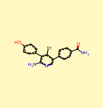 CCc1c(-c2ccc(C(N)=O)cc2)cnc(N)c1-c1ccc(O)cc1